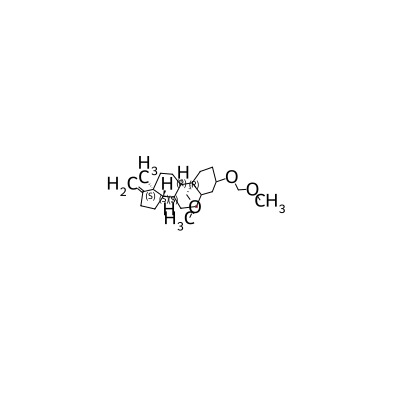 C=C1CC[C@H]2[C@@H]3CCC4CC(OCOC)CC[C@]4(COC)[C@@H]3CC[C@]12C